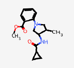 COC(=O)c1ccccc1N1CC(C)C(NC(=O)C2CC2)C1